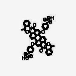 CC(C)c1ccccc1N1C(=O)c2ccc3c4c(Oc5ccc(S(=O)(=O)O)cc5)cc5c6c(ccc(c7c(Oc8ccc(S(=O)(=O)O)cc8)cc(c2c37)C1=O)c64)C(=O)N(c1ccccc1C(C)C)C5=O